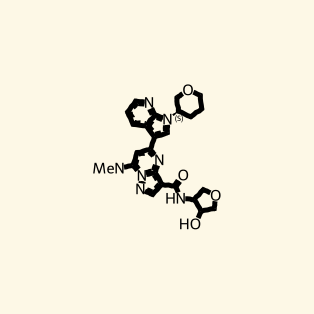 CNc1cc(-c2cn([C@H]3CCCOC3)c3ncccc23)nc2c(C(=O)NC3COCC3O)cnn12